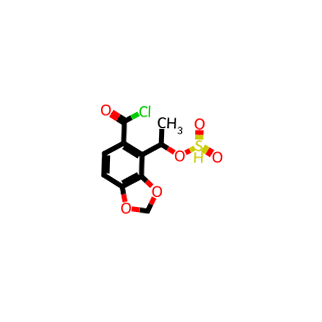 CC(O[SH](=O)=O)c1c(C(=O)Cl)ccc2c1OCO2